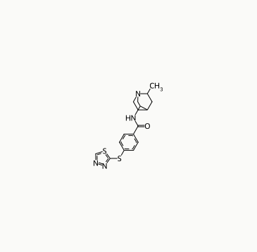 CC1CC2CCN1CC2NC(=O)c1ccc(Sc2nncs2)cc1